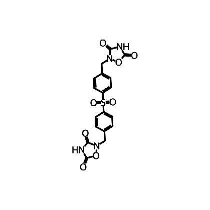 O=c1[nH]c(=O)n(Cc2ccc(S(=O)(=O)c3ccc(Cn4oc(=O)[nH]c4=O)cc3)cc2)o1